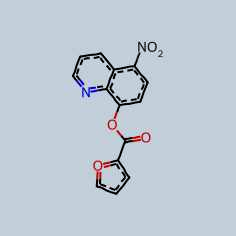 O=C(Oc1ccc([N+](=O)[O-])c2cccnc12)c1ccco1